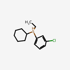 CC[SH](c1cccc(Cl)c1)C1CCCCC1